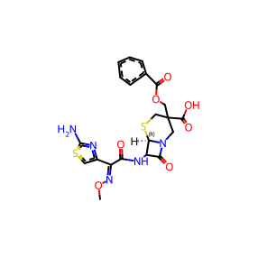 CON=C(C(=O)NC1C(=O)N2CC(COC(=O)c3ccccc3)(C(=O)O)CS[C@H]12)c1csc(N)n1